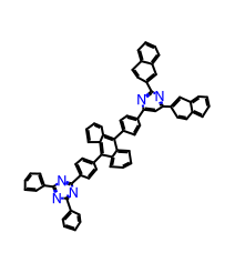 c1ccc(-c2nc(-c3ccccc3)nc(-c3ccc(-c4c5ccccc5c(-c5ccc(-c6cc(-c7ccc8ccccc8c7)nc(-c7ccc8ccccc8c7)n6)cc5)c5ccccc45)cc3)n2)cc1